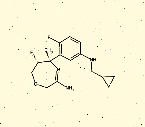 C[C@]1(c2cc(NCC3CC3)ccc2F)N=C(N)COC[C@@H]1F